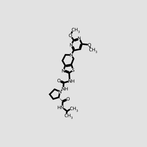 COc1cc(N2CCc3nc(NC(=O)NN4CCC[C@H]4C(=O)NC(C)C)sc3C2)nc(OC)n1